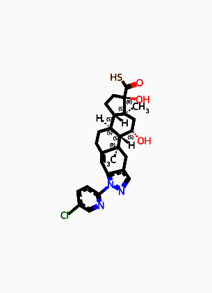 C[C@]12Cc3cnn(-c4ccc(Cl)cn4)c3C=C1CC[C@@H]1[C@@H]2[C@@H](O)C[C@@]2(C)[C@H]1CC[C@]2(O)C(=O)S